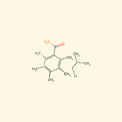 Cc1c(C)c(C)c(C(=O)P)c(C)c1C.[Li][CH2]C(C)C